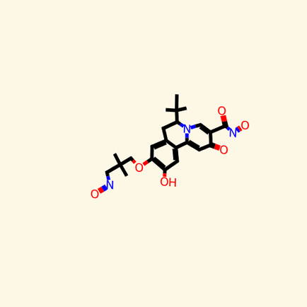 CC(C)(CN=O)COc1cc2c(cc1O)-c1cc(=O)c(C(=O)N=O)cn1C(C(C)(C)C)C2